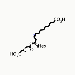 CCCCCC[C@H](C/C=C\CCCCCCCC(=O)O)OC(=O)COCC(=O)O